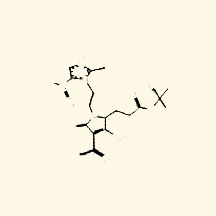 CC(=O)C1=C(O)C(CCC(=O)OC(C)(C)C)N(CCn2c([N+](=O)[O-])cnc2C)C1=O